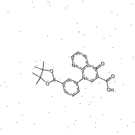 CC1(C)OB(c2cccc(-n3cc(C(=O)O)c(=O)c4cccnc43)c2)OC1(C)C